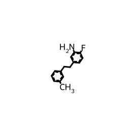 Cc1cccc(CCc2ccc(F)c(N)c2)c1